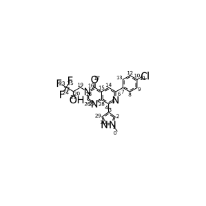 Cn1cc(-c2nc(-c3ccc(Cl)cc3)cc3c(=O)n(CC(O)C(F)(F)F)cnc23)cn1